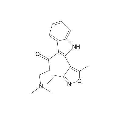 CCc1noc(C)c1-c1[nH]c2ccccc2c1C(=O)CCN(C)C